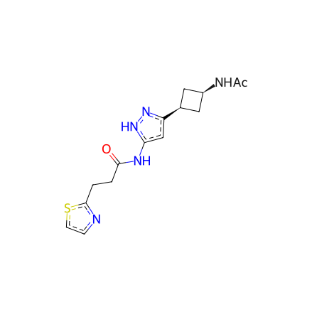 CC(=O)N[C@H]1C[C@@H](c2cc(NC(=O)CCc3nccs3)[nH]n2)C1